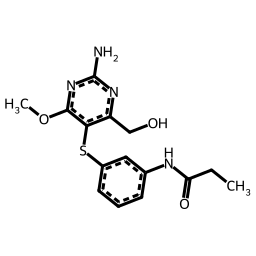 CCC(=O)Nc1cccc(Sc2c(CO)nc(N)nc2OC)c1